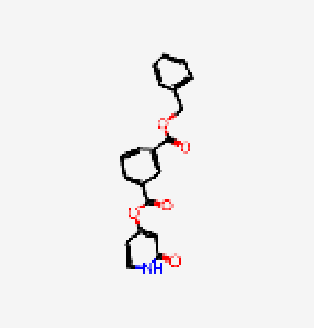 O=C(OCc1ccccc1)c1cccc(C(=O)Oc2cc[nH]c(=O)c2)c1